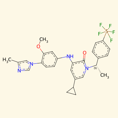 COc1cc(Nc2cc(C3CC3)cn([C@@H](C)c3ccc(S(F)(F)(F)(F)F)cc3)c2=O)ccc1-n1cnc(C)c1